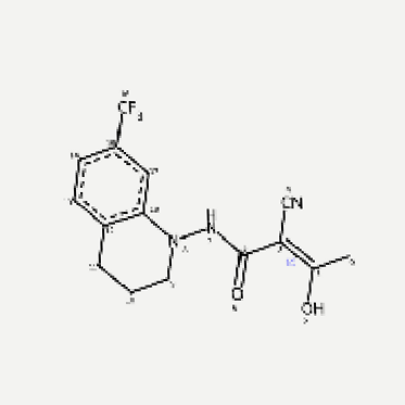 C/C(O)=C(\C#N)C(=O)NN1CCCc2ccc(C(F)(F)F)cc21